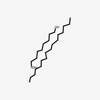 CCCCCCCCCCCCCCCC.CCCCCCCCCCCCCCCCCCO